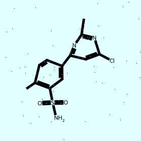 Cc1nc(Cl)cc(-c2ccc(C)c(S(N)(=O)=O)c2)n1